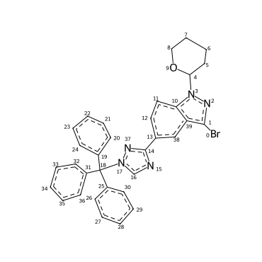 Brc1nn(C2CCCCO2)c2ccc(-c3ncn(C(c4ccccc4)(c4ccccc4)c4ccccc4)n3)cc12